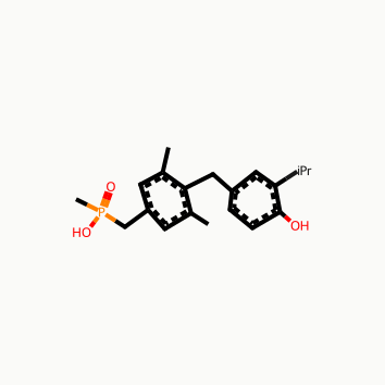 Cc1cc(CP(C)(=O)O)cc(C)c1Cc1ccc(O)c(C(C)C)c1